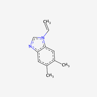 C=Cn1cnc2cc(C)c(C)cc21